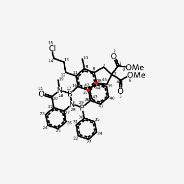 COC(=O)C1(C(=O)OC)Cc2c(C)c(CCCCl)c(B3N(C)C(=O)c4ccccc4N3P(c3ccccc3)c3ccccc3)c(C)c2C1